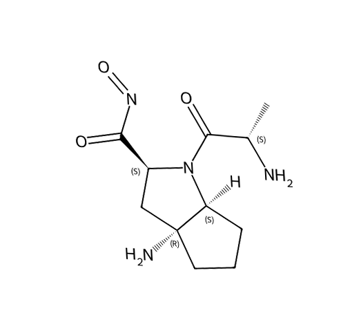 C[C@H](N)C(=O)N1[C@H]2CCC[C@@]2(N)C[C@H]1C(=O)N=O